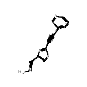 O/N=C/c1csc(C#Cc2cccnc2)n1